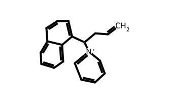 C=CCC(c1cccc2ccccc12)[n+]1ccccc1